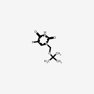 CC(C)(C)OCn1cc(F)c(=O)[nH]c1=O